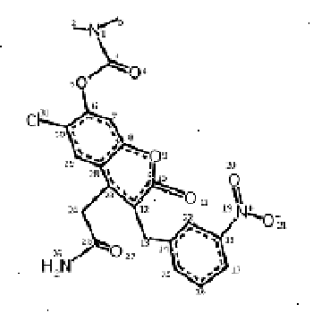 CN(C)C(=O)Oc1cc2oc(=O)c(Cc3cccc([N+](=O)[O-])c3)c(CC(N)=O)c2cc1Cl